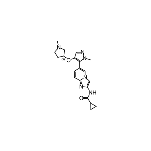 CN1CC[C@H](Oc2cnn(C)c2-c2ccc3nc(NC(=O)C4CC4)cn3c2)C1